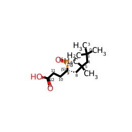 CC(C)(C)CC(C)(C)C[C@H](CCC(=O)O)P=O